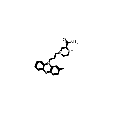 Cc1ccc2c(c1)N(CCCN1CCNC(C(N)=O)C1)c1ccccc1S2